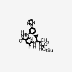 C[C@H](NC(=O)OC(C)(C)C)[C@H](Nc1nc(Nc2cccc(-n3nccn3)c2)c(C(N)=O)cc1F)C1CC1